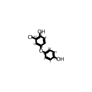 Oc1ccc(Oc2ccc(O)c(Cl)c2)cc1